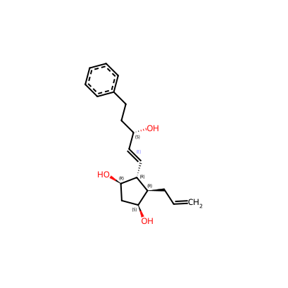 C=CC[C@@H]1[C@@H](/C=C/[C@@H](O)CCc2ccccc2)[C@H](O)C[C@@H]1O